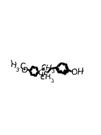 COc1cc[c]([Ge]([CH3])([CH3])[CH2]Cc2ccc(O)cc2)cc1